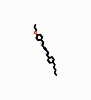 CCCCCc1ccc(/C=C/C#C/C=C/c2ccc(OCCC)cc2)cc1